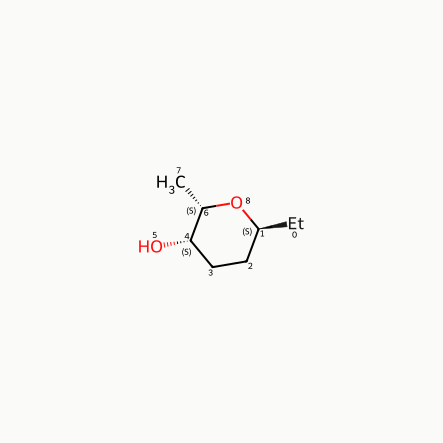 CC[C@H]1CC[C@H](O)[C@H](C)O1